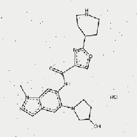 Cl.Cn1ncc2cc(N3CCC(O)C3)c(NC(=O)c3coc(C4CCNCC4)n3)cc21